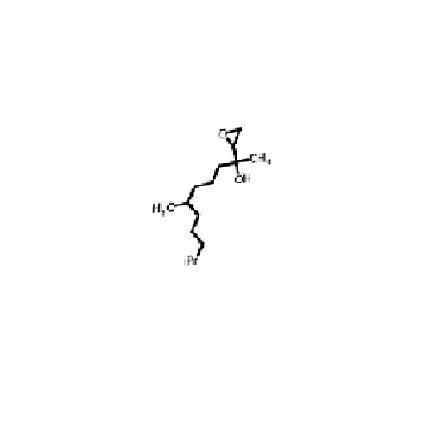 CC(C)CCCC(C)CCCC(C)(O)C1CO1